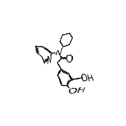 O=C(Cc1ccc(O)c(O)c1)N(c1ccccn1)C1CCCCC1